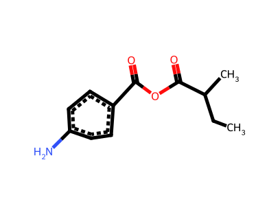 CCC(C)C(=O)OC(=O)c1ccc(N)cc1